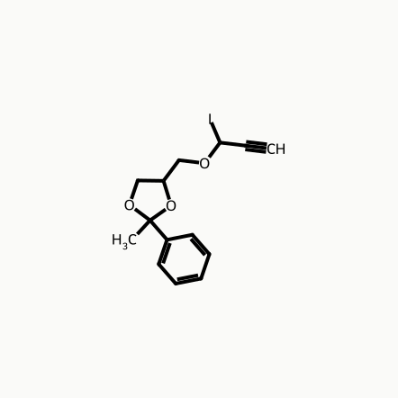 C#CC(I)OCC1COC(C)(c2ccccc2)O1